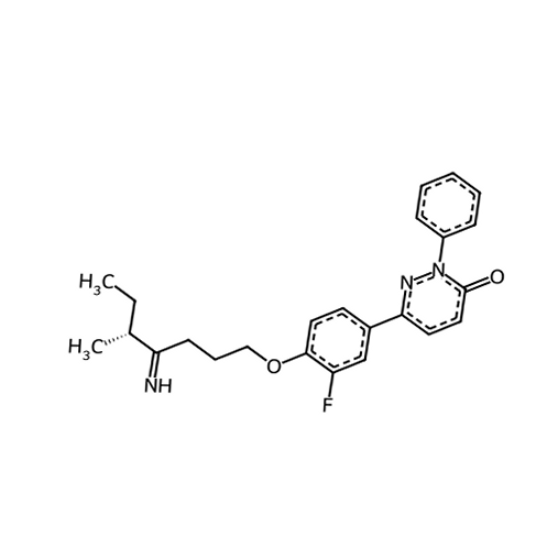 CC[C@@H](C)C(=N)CCCOc1ccc(-c2ccc(=O)n(-c3ccccc3)n2)cc1F